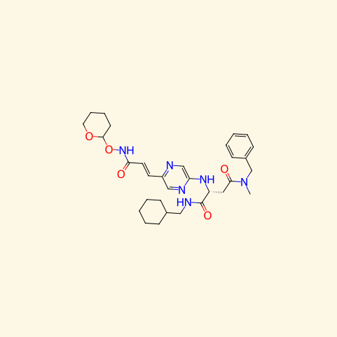 CN(Cc1ccccc1)C(=O)C[C@@H](Nc1cnc(/C=C/C(=O)NOC2CCCCO2)cn1)C(=O)NCC1CCCCC1